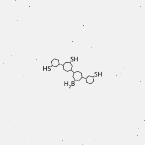 BC1CC(C2CCCC(S)C2)CCC(C2CCC(C3CCCC(S)C3)CC(S)C2)C1